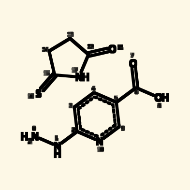 NNc1ccc(C(=O)O)cn1.O=C1CCC(=S)N1